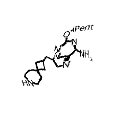 CCCC(C)Oc1nc(N)c2ncc(CC3CC4(CCNCC4)C3)n2n1